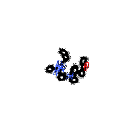 c1ccc(-c2nc(-c3cccc(-n4c5ccccc5c5c(-c6cccc7oc8ccccc8c67)cccc54)c3)nc(-c3ccc4ccccc4c3)n2)cc1